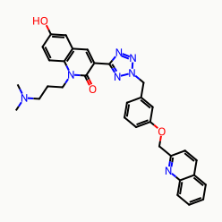 CN(C)CCCn1c(=O)c(-c2nnn(Cc3cccc(OCc4ccc5ccccc5n4)c3)n2)cc2cc(O)ccc21